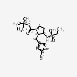 CCS(=O)(=O)N[C@@H]1CCN(C(=O)OC(C)(C)C)[C@@H]1Cc1csc(Br)n1